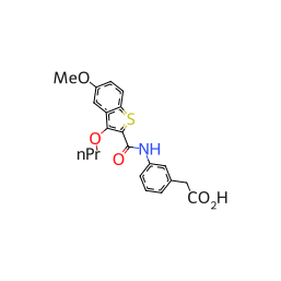 CCCOc1c(C(=O)Nc2cccc(CC(=O)O)c2)sc2ccc(OC)cc12